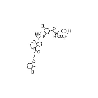 Cc1c(Cl)cccc1OCCCC(=O)N1CCCOc2c(-c3cnn(Cc4c(F)cc(C(=O)N[C@@H](CC(=O)O)C(=O)O)cc4Cl)c3)cccc21